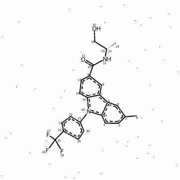 Cc1ccc2c(c1)c1cc(C(=O)N[C@@H](C)CO)ccc1n2-c1ccc(C(F)(F)F)cc1